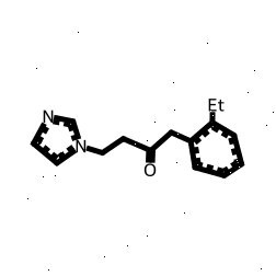 CCc1ccccc1CC(=O)CCn1ccnc1